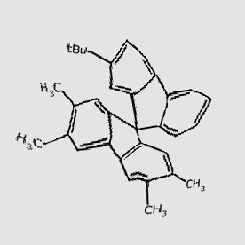 Cc1cc2c(cc1C)C1(c3ccccc3-c3ccc(C(C)(C)C)cc31)c1cc(C)c(C)cc1-2